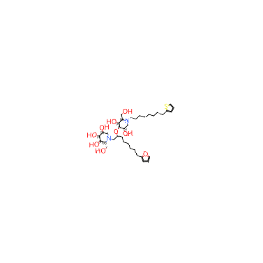 OC[C@@H]1[C@@H](O)[C@H](O)[C@@H](O)CN1CC(CCCCCCc1ccco1)O[C@H]1[C@H](O)[C@@H](CO)N(CCCCCCCCc2cccs2)C[C@@H]1O